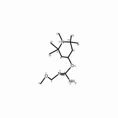 COCN=C(N)OC1CC(C)(C)N(C)C(C)(C)C1